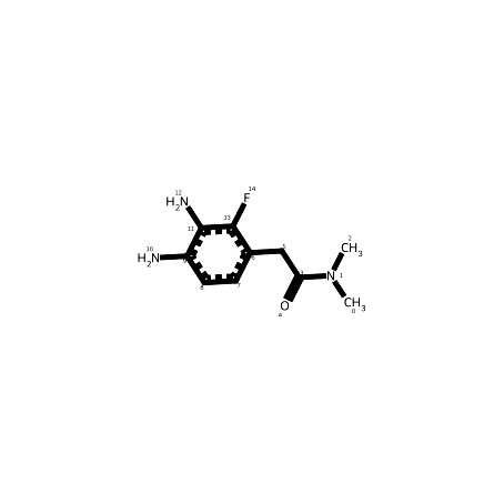 CN(C)C(=O)Cc1ccc(N)c(N)c1F